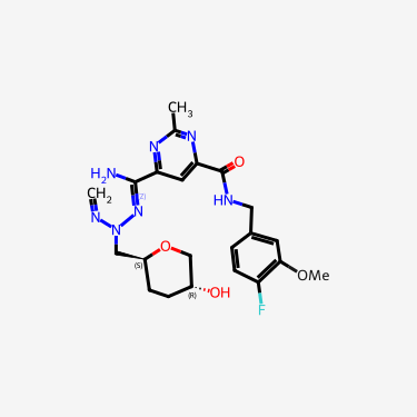 C=NN(C[C@@H]1CC[C@@H](O)CO1)/N=C(\N)c1cc(C(=O)NCc2ccc(F)c(OC)c2)nc(C)n1